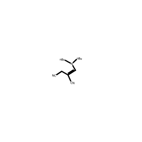 CCCCN(/C=C(/C#N)CC#N)CCCC